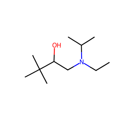 CCN(CC(O)C(C)(C)C)C(C)C